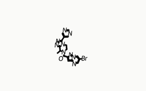 CC1c2nnc(-c3cncnc3)n2CCN1C(=O)c1cc2ncc(Br)cn2n1